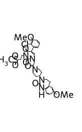 COc1ccc2c(c1)CCN(C1CCN(C(=O)Cn3cc(-c4cccc(OC)c4Cl)c(=O)n(CCS(C)(=O)=O)c3=O)CC1)C(=O)N2